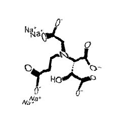 O=C([O-])CCN(CC(=O)[O-])[C@H](C(=O)[O-])C(O)C(=O)[O-].[Na+].[Na+].[Na+].[Na+]